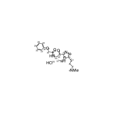 CNCCSc1nnc(C(=O)[C@H](CC(C)C)NC(=O)COc2ccccc2)o1.Cl